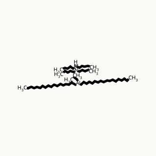 CCCCCCCCCCCCCCCCC[CH2][Al]([CH2]CCCCCCCCCCCCCCCCC)[CH2]C(C)C.CCCCCNCCCCC.CCCCCNCCCCC